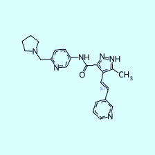 Cc1[nH]nc(C(=O)Nc2ccc(CN3CCCC3)nc2)c1/C=C/c1cccnc1